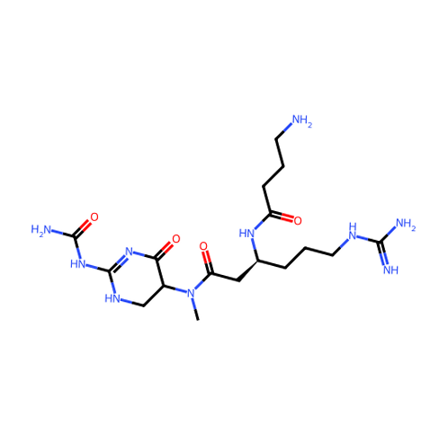 CN(C(=O)C[C@H](CCCNC(=N)N)NC(=O)CCCN)C1CNC(NC(N)=O)=NC1=O